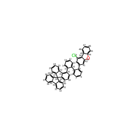 Clc1cc(-c2ccccc2-c2ccccc2-c2cccc3c2-c2ccccc2C32c3ccccc3-c3ccccc32)cc2oc3ccccc3c12